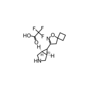 C1CC2(C1)CC(C1[C@H]3CNC[C@@H]13)=NO2.O=C(O)C(F)(F)F